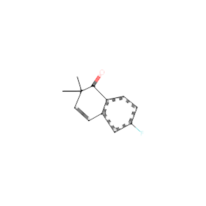 CC1(C)C=Cc2cc(F)ccc2C1=O